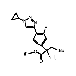 CC(C)OC(=O)C(N)(CC(C)(C)C)c1ccc(-c2cn(C3CC3)nn2)c(F)c1